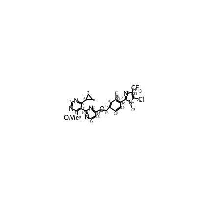 COc1ncnc(C2CC2)c1-c1nccc(OCc2ccc(-c3nc(C(F)(F)F)c(Cl)n3C)c(F)c2)n1